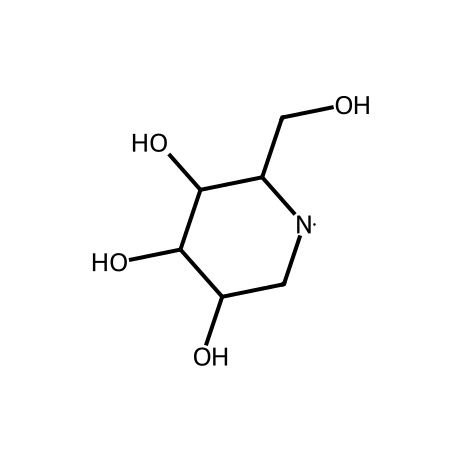 OCC1[N]CC(O)C(O)C1O